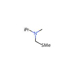 CSCN(C)C(C)C